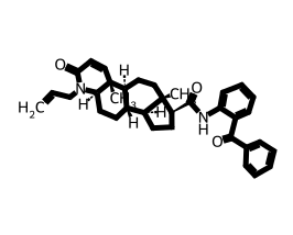 C=CCN1C(=O)C=C[C@]2(C)[C@H]3CC[C@]4(C)[C@@H](C(=O)Nc5ccccc5C(=O)c5ccccc5)CC[C@H]4[C@@H]3CC[C@@H]12